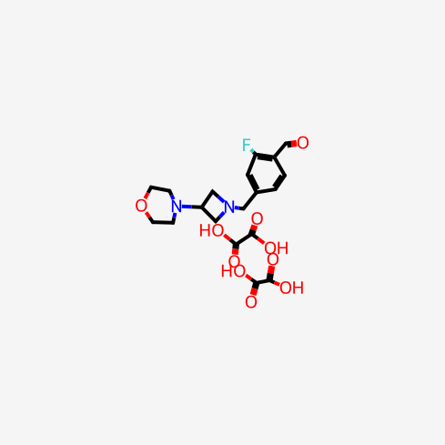 O=C(O)C(=O)O.O=C(O)C(=O)O.O=Cc1ccc(CN2CC(N3CCOCC3)C2)cc1F